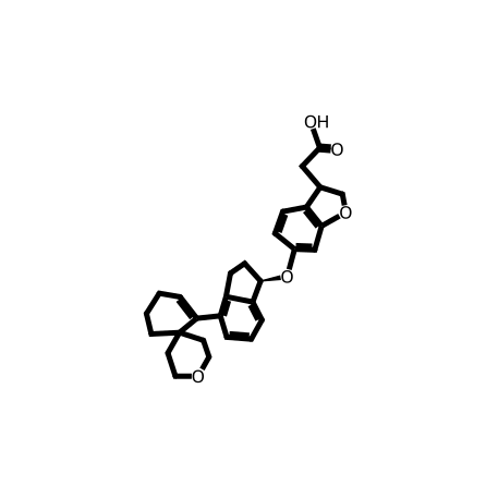 O=C(O)CC1COc2cc(O[C@@H]3CCc4c(C5=CCCCC56CCOCC6)cccc43)ccc21